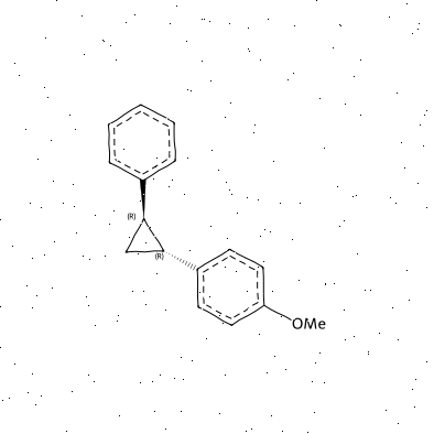 COc1ccc([C@@H]2C[C@H]2c2ccccc2)cc1